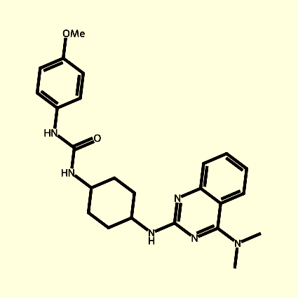 COc1ccc(NC(=O)NC2CCC(Nc3nc(N(C)C)c4ccccc4n3)CC2)cc1